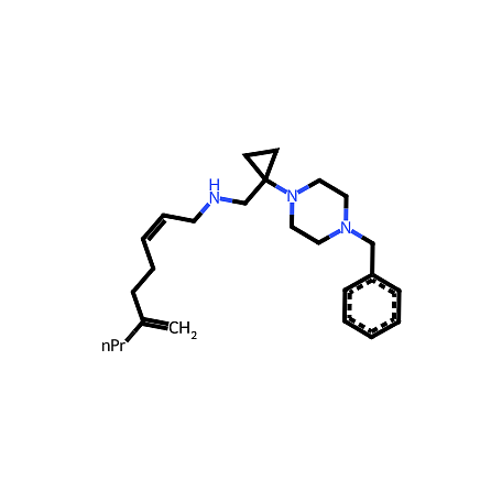 C=C(CCC)CC/C=C\CNCC1(N2CCN(Cc3ccccc3)CC2)CC1